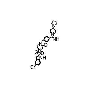 N=C(c1ccc(CN2CCN(S(=O)(=O)c3cc4cc(Cl)ccc4[nH]3)CC2=O)cc1)N1CCC(N2CCCC2)CC1